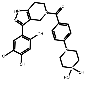 O=C(c1ccc(N2CCS(O)(O)CC2)cc1)N1CCc2[nH]nc(-c3cc(Cl)c(O)cc3O)c2C1